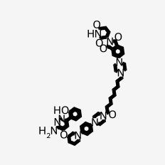 Nc1nnc(-c2ccccc2O)cc1OC1CCCN(c2ccc(N3CCN(C(=O)CCCCCCCCN4CCN(c5ccc6c(c5)C(=O)N(C5CCC(=O)NC5=O)C6=O)CC4)CC3)cc2)C1